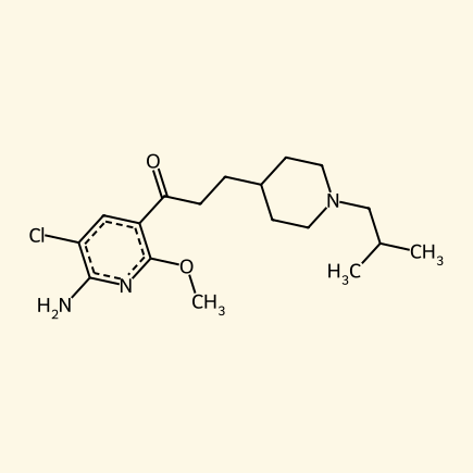 COc1nc(N)c(Cl)cc1C(=O)CCC1CCN(CC(C)C)CC1